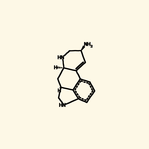 N[C@H]1C=C2c3cccc4c3[C@@H](CN4)C[C@H]2NC1